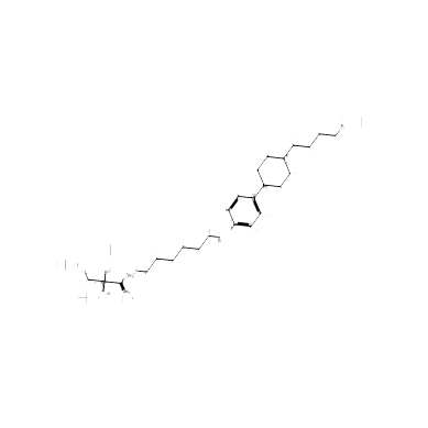 CCCCCC1CCC(c2ccc(OCCCCCCOC(=O)C(C)(C)CC)cc2)CC1